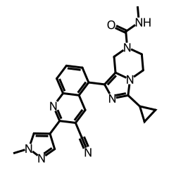 CNC(=O)N1CCn2c(C3CC3)nc(-c3cccc4nc(-c5cnn(C)c5)c(C#N)cc34)c2C1